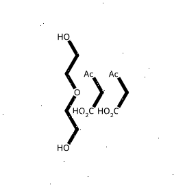 CC(=O)CC(=O)O.CC(=O)CC(=O)O.OCCOCCO